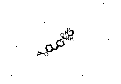 O=C(Nc1cccnn1)N1CCC(=Cc2cccc(OC3CC3)c2)CC1